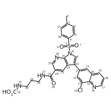 Cc1ccc(S(=O)(=O)n2cc(-c3cc(Cl)c4ncccc4c3)c3cc(C(=O)NCCCNC(=O)O)cnc32)cc1